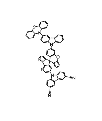 N#Cc1ccc2c(c1)c1cc(C#N)ccc1n2-c1cnc2c(c1)C1(c3ccccc3Oc3cc(-n4c5ccccc5c5cc(N6c7ccccc7Sc7ccccc76)ccc54)ccc31)c1cccnc1-2